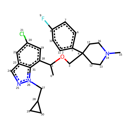 CC(OCC1(c2ccc(F)cc2)CCN(C)CC1)c1cc(Cl)cc2cnn(CC3CC3)c12